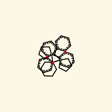 c1ccc(P2(c3ccccc3)(C3(P4(c5ccccc5)(c5ccccc5)CCCC4)CCCCC3)CCCC2)cc1